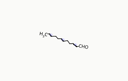 C/C=C/CC/C=C/CC/C=C/C=O